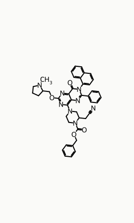 CN1CCCC1COc1nc(N2CCN(C(=O)OCc3ccccc3)C(CC#N)C2)c2nc(-c3ccccc3)n(-c3cccc4ccccc34)c(=O)c2n1